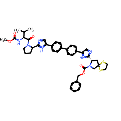 COC(=O)N[C@H](C(=O)N1CCCC1c1ncc(-c2ccc(-c3ccc(-c4cnc([C@@H]5CC6(CN5C(=O)OCc5ccccc5)SCCS6)[nH]4)cc3)cc2)[nH]1)C(C)C